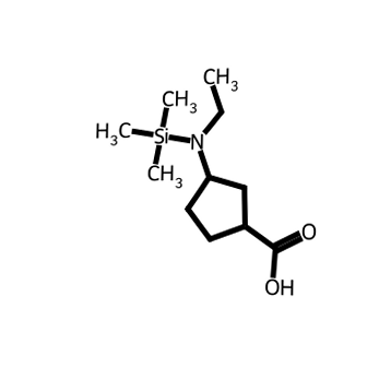 CCN(C1CCC(C(=O)O)C1)[Si](C)(C)C